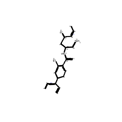 C=C/C(=C\C)C1C=C(CC)C(C(=C)NC(CN)CC(/C=C\C)CC)=CC1